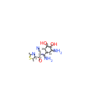 N#C/C(C(=O)c1cscn1)=C(/N)c1cc(N)c(O)c(O)c1